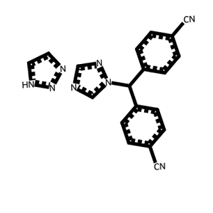 N#Cc1ccc(C(c2ccc(C#N)cc2)n2cncn2)cc1.c1c[nH]nn1